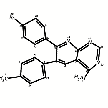 Cc1ccc(-c2cc3c([AsH2])ncnc3nc2-c2ccc(Br)cc2)cc1